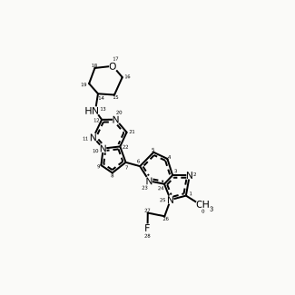 Cc1nc2ccc(-c3ccn4nc(NC5CCOCC5)ncc34)nc2n1CCF